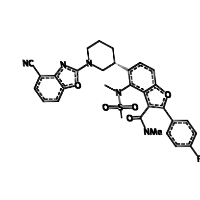 CNC(=O)c1c(-c2ccc(F)cc2)oc2ccc([C@H]3CCCN(c4nc5c(C#N)cccc5o4)C3)c(N(C)S(C)(=O)=O)c12